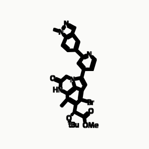 COC(=O)[C@@H](OC(C)(C)C)c1c(C)c2c3c(cc(-c4ccnc(-c5ccc6c(cnn6C)c5)c4)n3CC(=O)N2)c1Br